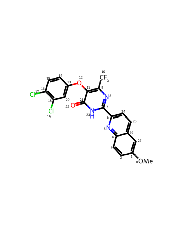 COc1ccc2nc(-c3nc(C(F)(F)F)c(Oc4ccc(Cl)c(Cl)c4)c(=O)[nH]3)ccc2c1